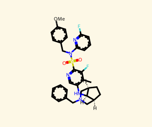 COc1ccc(CN(c2cccc(F)n2)S(=O)(=O)c2ncc(N[C@H]3[C@@H]4CC[C@H]3CN(Cc3ccccc3)C4)c(C)c2F)cc1